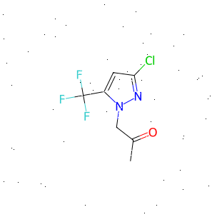 CC(=O)Cn1nc(Cl)cc1C(F)(F)F